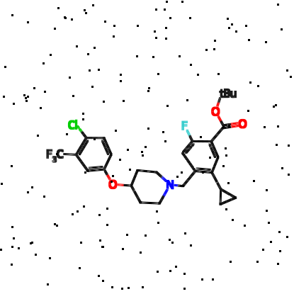 CC(C)(C)OC(=O)c1cc(C2CC2)c(CN2CCC(Oc3ccc(Cl)c(C(F)(F)F)c3)CC2)cc1F